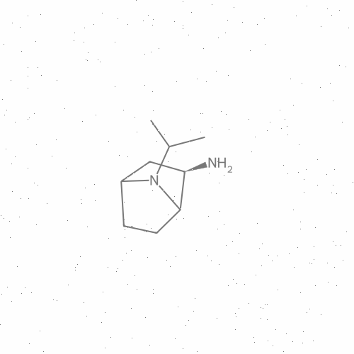 CC(C)N1C2CCC1[C@H](N)C2